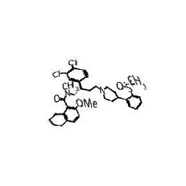 COc1ccc2c(c1C(=O)N(C)C[C@@H](CCN1CCC(c3ccccc3[S@+](C)[O-])CC1)c1ccc(Cl)c(Cl)c1)CCCC2